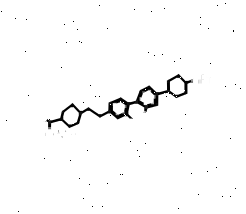 CCCC1CCC(c2ccc(-c3ccc(CCC4CCC(C(CC)OC)CC4)cc3F)c(F)c2)CC1